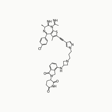 CC(=N)N1C(=N)[C@H](C)N=C(c2ccc(Cl)cc2)c2c1sc(C#Cc1cnn(CCCN3CC(Nc4cccc5c4CN(C4CCC(=O)NC4=O)C5=O)C3)c1)c2C